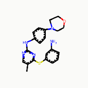 Cc1cnc(Nc2ccc(N3CCOCC3)cc2)nc1Sc1cccc(N)c1